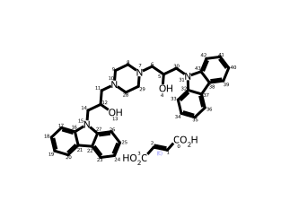 O=C(O)/C=C/C(=O)O.OC(CN1CCN(CC(O)Cn2c3ccccc3c3ccccc32)CC1)Cn1c2ccccc2c2ccccc21